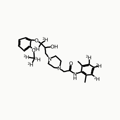 [2H]c1c([2H])c(C)c(NC(=O)CN2CCN(CC(O)C([2H])([2H])Oc3ccccc3OC([2H])([2H])[2H])CC2)c(C)c1[2H]